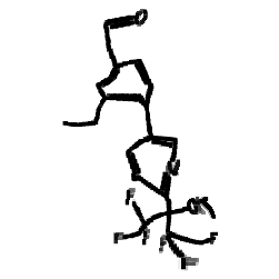 CCc1cc(C=O)ccc1-c1ccc(C(O)(C(F)(F)F)C(F)(F)F)nc1